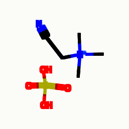 C[N+](C)(C)CC#N.O=S(=O)(O)O